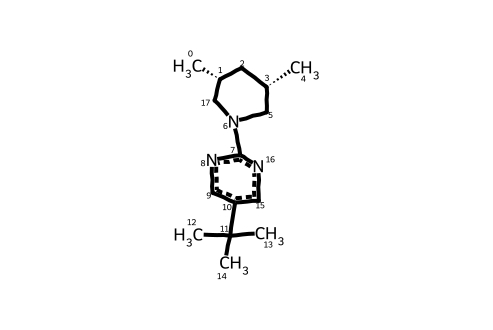 C[C@@H]1C[C@H](C)CN(c2ncc(C(C)(C)C)cn2)C1